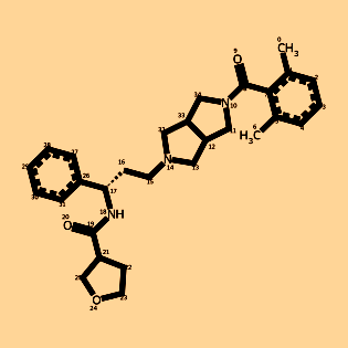 Cc1cccc(C)c1C(=O)N1CC2CN(CC[C@H](NC(=O)C3CCOC3)c3ccccc3)CC2C1